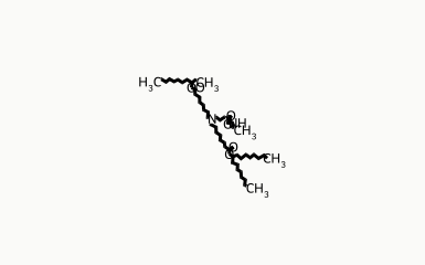 CCCCCCCCC(CC)OC(=O)CCCCCCCN(CCCCCCCC(=O)OC(CCCCCCCC)CCCCCCCC)CCCS(=O)(=O)NCC